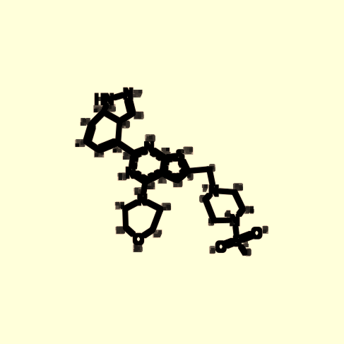 CS(=O)(=O)N1CCN(Cc2cc3c(N4CCOCC4)nc(C4=CC=CC5NN=CC45)nc3s2)CC1